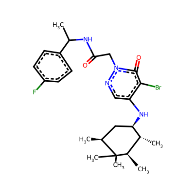 CC(NC(=O)Cn1ncc(N[C@@H]2C[C@H](C)C(C)(C)[C@H](C)[C@H]2C)c(Br)c1=O)c1ccc(F)cc1